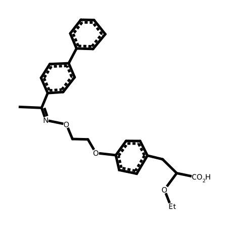 CCOC(Cc1ccc(OCCON=C(C)c2ccc(-c3ccccc3)cc2)cc1)C(=O)O